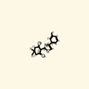 Cc1cccc(-c2csc(C3C(=O)CC(C)(C)CC3=O)n2)c1